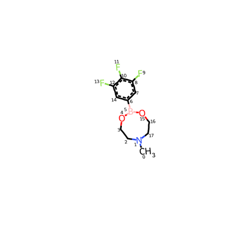 CN1CCOB(c2cc(F)c(F)c(F)c2)OCC1